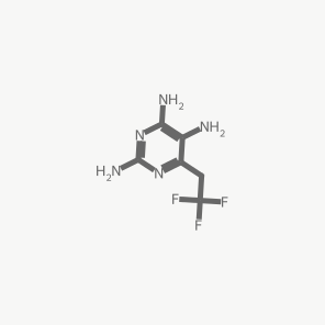 Nc1nc(N)c(N)c(CC(F)(F)F)n1